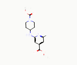 CC(C)(C)OC(=O)c1cc(NC2CCN(C(=O)OC(C)(C)C)CC2)nc(C(F)(F)F)c1